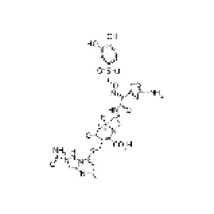 CC1=NC2=CN(C(N)=O)NN2C(SCC2=C(C(=O)O)N3C[C@@H](NC(=O)C(=NOCS(=O)(=O)c4ccc(O)c(O)c4)c4csc(N)n4)[C@H]3SC2=O)=C1